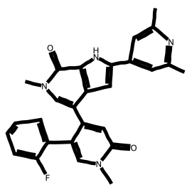 Cc1cc(-c2cc3c(-c4cc(=O)n(C)cc4-c4ccccc4F)cn(C)c(=O)c3[nH]2)cc(C)n1